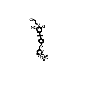 CC(C)(c1ccc(OCc2ccnc(NS(C)(=O)=O)n2)cc1)c1cc(Cl)c(OCCCl)c(C#N)c1